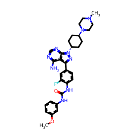 COc1cccc(NC(=O)Nc2ccc(-c3nn([C@H]4CC[C@H](N5CCN(C)CC5)CC4)c4ncnc(N)c34)cc2F)c1